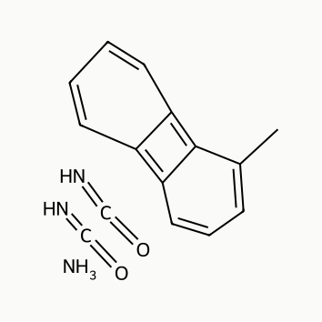 Cc1cccc2c1=c1ccccc1=2.N.N=C=O.N=C=O